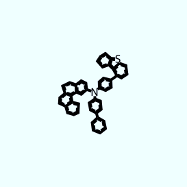 c1ccc(-c2ccc(N(c3ccc(-c4cccc5sc6ccccc6c45)cc3)c3ccc4ccc5ccc6ccccc6c5c4c3)cc2)cc1